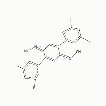 N#C/N=C1C=C(c2cc(F)cc(F)c2)/C(=N\C#N)C=C/1c1cc(F)cc(F)c1